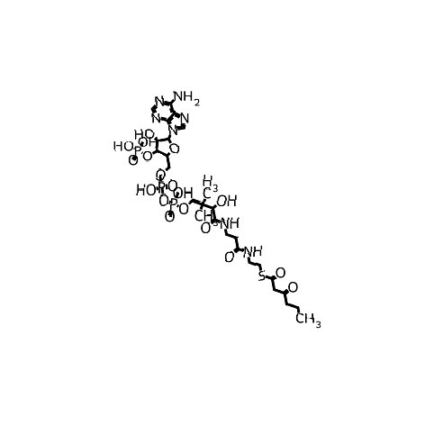 CCCC(=O)CC(=O)SCCNC(=O)CCNC(=O)C(O)C(C)(C)COP(=O)(O)OP(=O)(O)OCC1OC(n2cnc3c(N)ncnc32)C(O)C1OP(=O)(O)O